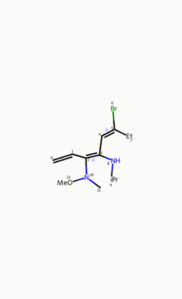 C=C/C(=C(\C=C(\Br)CC)NC(C)C)N(C)OC